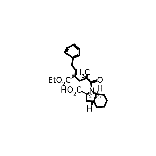 CCOC(=O)[C@H](CCc1ccccc1)C[C@@H](C)C(=O)N1[C@H](C(=O)O)C[C@H]2CCCC[C@@H]21